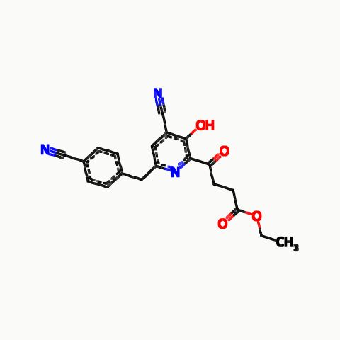 CCOC(=O)CCC(=O)c1nc(Cc2ccc(C#N)cc2)cc(C#N)c1O